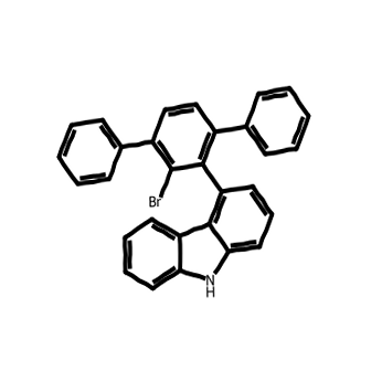 Brc1c(-c2ccccc2)ccc(-c2ccccc2)c1-c1cccc2[nH]c3ccccc3c12